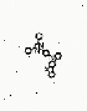 CC1(C)c2ccccc2-c2cc3c4ccccc4n(-c4ccc(-c5nc(C6=CCCC=C6)cc(-c6ccccc6)n5)cc4)c3cc21